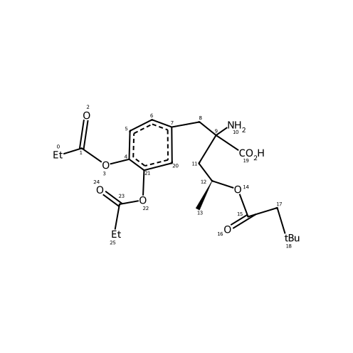 CCC(=O)Oc1ccc(CC(N)(C[C@H](C)OC(=O)CC(C)(C)C)C(=O)O)cc1OC(=O)CC